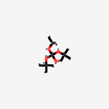 C[SiH2]O[Si](O)(O[Si](C)(C)C)O[Si](C)(C)C